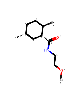 CCOCCNC(=O)[C@@H]1C[C@H](C)CCC1C(C)C